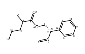 C=N[C@H](COC(=O)C(C)CCC)c1ccccc1